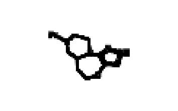 CC(C)N1CCN2c3n[nH]cc3OCCC2C1